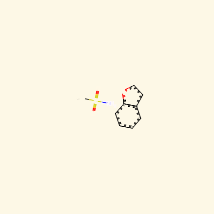 CCCCCS(N)(=O)=O.c1ccc2occc2c1